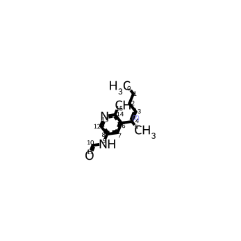 CCC/C=C(/C)c1cc(NC=O)cnc1C